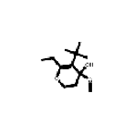 CCC1=C(C(C)(C)C)C(O)(OC)CCO1